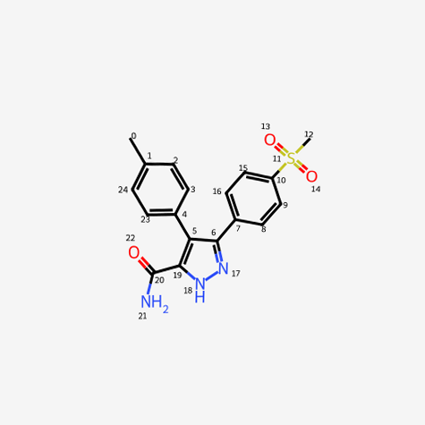 Cc1ccc(-c2c(-c3ccc(S(C)(=O)=O)cc3)n[nH]c2C(N)=O)cc1